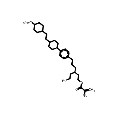 C=C(CC)C(=O)OCCC(CCO)CCCc1ccc(C2CCC(CCC3CCC(CCCCC)CC3)CC2)cc1